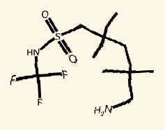 CC(C)(CN)CC(C)(C)CS(=O)(=O)NC(F)(F)F